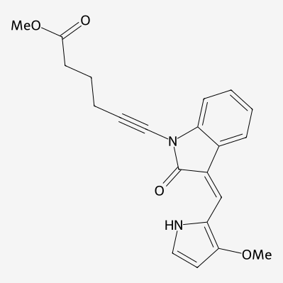 COC(=O)CCCC#CN1C(=O)C(=Cc2[nH]ccc2OC)c2ccccc21